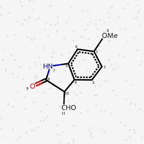 COc1ccc2c(c1)NC(=O)C2C=O